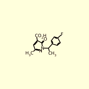 Cc1cc(C(=O)O)c(=O)n(C(C)c2ccc(F)cc2)n1